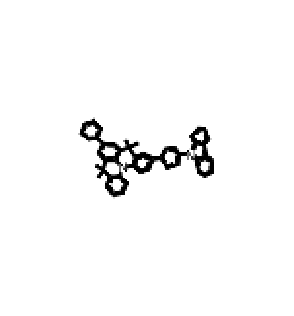 CC1(C)c2ccccc2N2c3ccc(-c4ccc(-n5c6ccccc6c6ccccc65)cc4)cc3C(C)(C)c3cc(-c4ccccc4)cc1c32